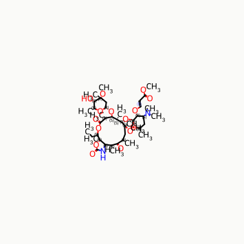 CC[C@H]1OC(=O)[C@H](C)[C@@H](O[C@H]2C[C@@](C)(OC)[C@@H](O)[C@H](C)O2)[C@H](C)[C@@H](O[C@@H]2O[C@H](C)C[C@H](N(C)C)[C@H]2O/C=C/C(=O)OC)[C@@](C)(OC)C[C@@H](C)C(=O)[C@H](C)[C@H]2NC(=O)O[C@@]21C